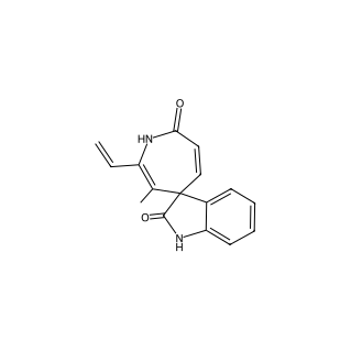 C=CC1=C(C)C2(C=CC(=O)N1)C(=O)Nc1ccccc12